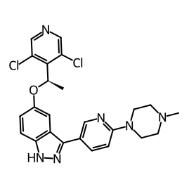 C[C@@H](Oc1ccc2[nH]nc(-c3ccc(N4CCN(C)CC4)nc3)c2c1)c1c(Cl)cncc1Cl